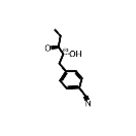 CCC(=O)[C@H](O)Cc1ccc(C#N)cc1